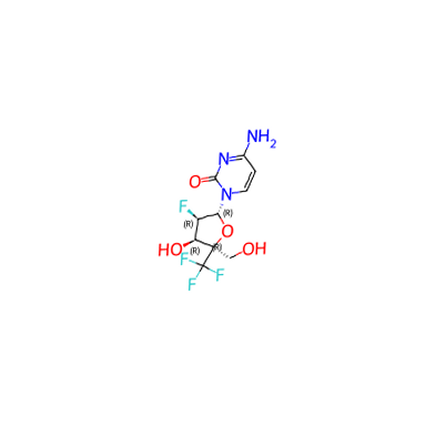 Nc1ccn([C@@H]2O[C@@](CO)(C(F)(F)F)[C@@H](O)[C@H]2F)c(=O)n1